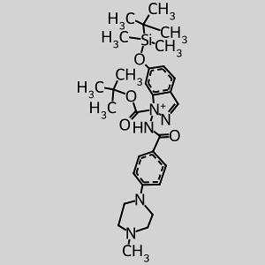 CN1CCN(c2ccc(C(=O)N[N+]3(C(=O)OC(C)(C)C)N=Cc4ccc(O[Si](C)(C)C(C)(C)C)cc43)cc2)CC1